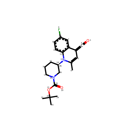 CC1=CC(=C=O)c2cc(F)ccc2N1[C@@H]1CCCN(C(=O)OC(C)(C)C)C1